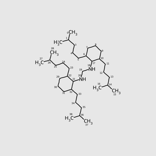 CC(C)CCCC1CCCC(CCCC(C)C)C1NCNC1C(CCCC(C)C)CCCC1CCCC(C)C